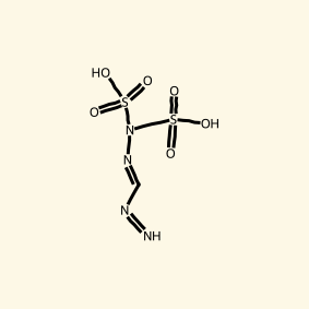 N=NC=NN(S(=O)(=O)O)S(=O)(=O)O